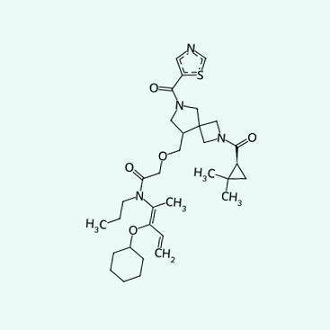 C=CC(OC1CCCCC1)=C(C)N(CCC)C(=O)COCC1CN(C(=O)c2cncs2)CC12CN(C(=O)[C@H]1CC1(C)C)C2